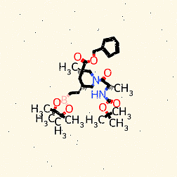 C[C@H](NC(=O)OC(C)(C)C)C(=O)N1C[C@@H](CCB2OC(C)(C)C(C)(C)O2)C[C@@](C)(C(=O)OCc2ccccc2)C1